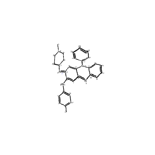 Cc1ccc(Nc2cc3nc4ccccc4n(-c4ccccc4)c-3c/c2=N\C2CCN(C)CC2)cn1